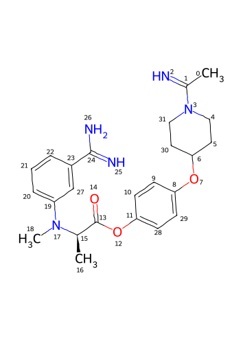 CC(=N)N1CCC(Oc2ccc(OC(=O)[C@@H](C)N(C)c3cccc(C(=N)N)c3)cc2)CC1